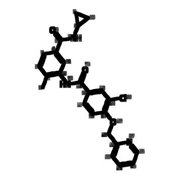 Cc1ccc(C(=O)NC2CC2)cc1NC(=O)c1ccc(OCc2ccccn2)c(Cl)c1